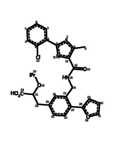 Cc1sc(-c2ccccc2Cl)nc1C(=O)NCc1cc(CC(OC(C)C)C(=O)O)ccc1-c1ccco1